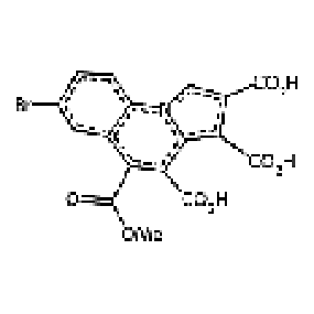 COC(=O)c1c(C(=O)O)c2c(C(=O)O)c(C(=O)O)cn2c2ccc(Br)cc12